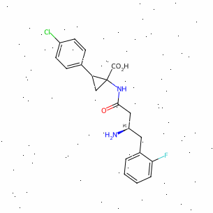 N[C@@H](CC(=O)NC1(C(=O)O)CC1c1ccc(Cl)cc1)Cc1ccccc1F